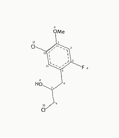 COc1cc(F)c(CC(O)CCl)cc1Cl